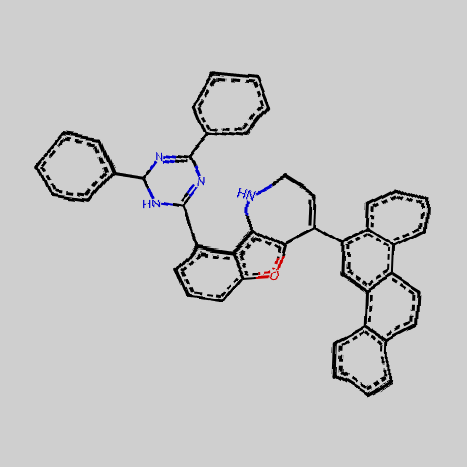 C1=C(c2cc3c4ccccc4ccc3c3ccccc23)c2oc3cccc(C4=NC(c5ccccc5)=NC(c5ccccc5)N4)c3c2NC1